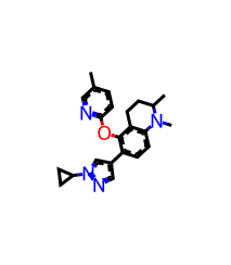 Cc1ccc(Oc2c(-c3cnn(C4CC4)c3)ccc3c2CCC(C)N3C)nc1